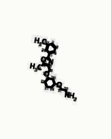 Cc1cccc(-c2nc(CO[C@H]3CCC[C@@H](OCCN)C3)c(C)o2)c1